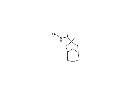 CC(NN)C1(C)CC2CCCC(C2)C1